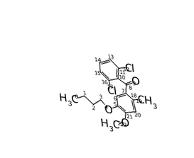 CCCCOc1cc(C(=O)c2c(Cl)cccc2Cl)c(C)cc1OC